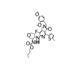 CCCCOC(=O)N[C@H]1COCC[C@H]1Nc1nc(-c2ccc(C)s2)c2c(c1F)CN(Cc1ccc(OC)cc1OC)C2=O